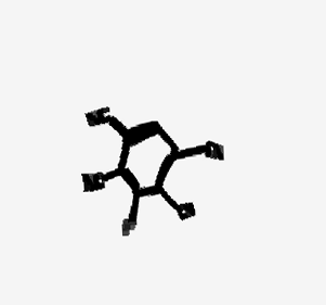 N#Cc1cc(C#N)c(C#N)c(F)c1C#N